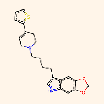 C1=C(c2cccs2)CCN(CCCCc2c[nH]c3cc4c(cc23)OCO4)C1